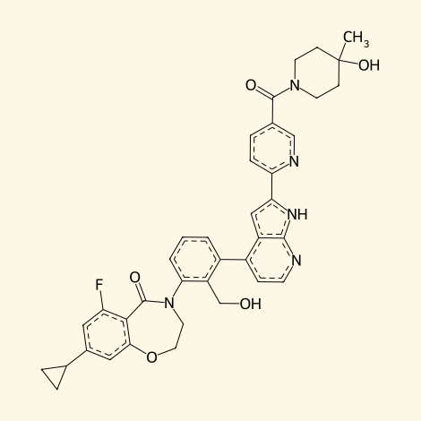 CC1(O)CCN(C(=O)c2ccc(-c3cc4c(-c5cccc(N6CCOc7cc(C8CC8)cc(F)c7C6=O)c5CO)ccnc4[nH]3)nc2)CC1